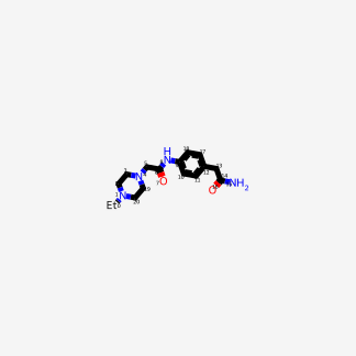 CCN1CCN(CC(=O)Nc2ccc(CC(N)=O)cc2)CC1